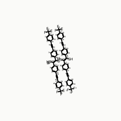 FC(F)(F)c1ccc(C#Cc2ccc(C(S)=C(S)c3ccc(C#Cc4ccc(C(F)(F)F)cc4)cc3)cc2)cc1.FC(F)(F)c1ccc(C#Cc2ccc(C(S)=C(S)c3ccc(C#Cc4ccc(C(F)(F)F)cc4)cc3)cc2)cc1.[Ni]